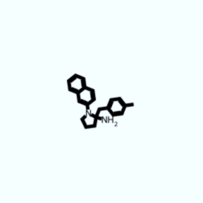 Cc1ccc(CC2(N)CCCN2c2ccc3ccccc3c2)cc1